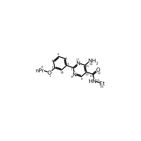 CCCOc1cccc(-c2ncc(C(=O)NCC)c(N)n2)c1